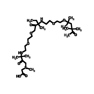 CCC(C)(NCCOCCOC(C)(C)CC(C)(C)C(C)=O)C(=O)COCCOCCNC(C)(C)C(=O)CN(C)CC(=O)O